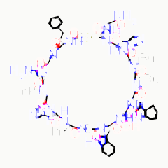 CCCC[C@H]1C(=O)N(C)[C@@H](CCCC)C(=O)N[C@@H](Cc2cnc[nH]2)C(=O)N[C@H](C(=O)NCC(N)=O)CSCC(=O)N[C@@H](CCc2ccccc2)C(=O)N(C)[C@@H](C)C(=O)N[C@@H](CC(N)=O)C(=O)N(CCC)CC(=O)N[C@@H](Cc2cnc[nH]2)C(=O)N[C@@H](CC(C)C)C(=O)N(C)CC(=O)N[C@@H](Cc2c[nH]c3ccccc23)C(=O)N[C@@H](CO)C(=O)N[C@@H](Cc2c[nH]c3ccccc23)C(=O)N1C